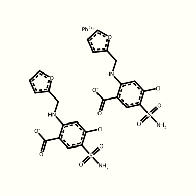 NS(=O)(=O)c1cc(C(=O)[O-])c(NCc2ccco2)cc1Cl.NS(=O)(=O)c1cc(C(=O)[O-])c(NCc2ccco2)cc1Cl.[Pb+2]